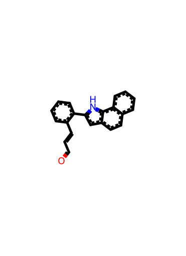 O=CC=Cc1ccccc1-c1cc2ccc3ccccc3c2[nH]1